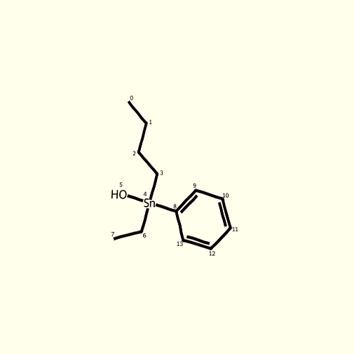 CCC[CH2][Sn]([OH])([CH2]C)[c]1ccccc1